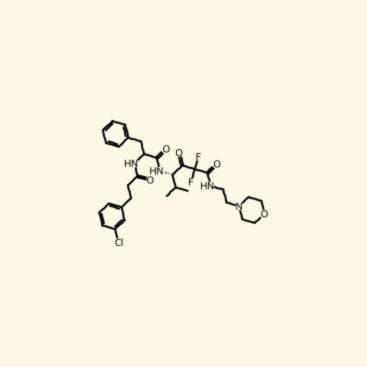 CC(C)[C@H](NC(=O)C(Cc1ccccc1)NC(=O)CCc1cccc(Cl)c1)C(=O)C(F)(F)C(=O)NCCN1CCOCC1